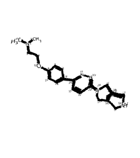 CN(C)CCOc1ccc(-c2ccc(N3CC4=CNCC4C3)nn2)cc1